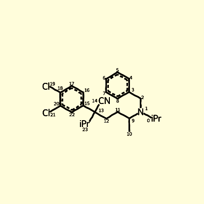 CC(C)N(Cc1ccccc1)C(C)CCC(C#N)(c1ccc(Cl)c(Cl)c1)C(C)C